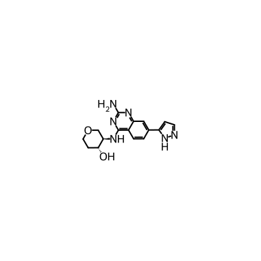 Nc1nc(N[C@@H]2COCC[C@H]2O)c2ccc(-c3ccn[nH]3)cc2n1